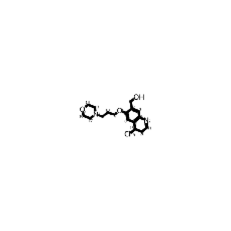 OCc1cc2c(cc1OCCCN1CCOCC1)C(Cl)CC=N2